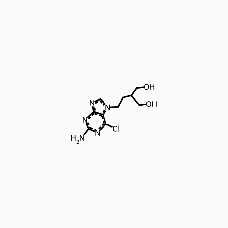 Nc1nc(Cl)c2c(ncn2CCC(CO)CO)n1